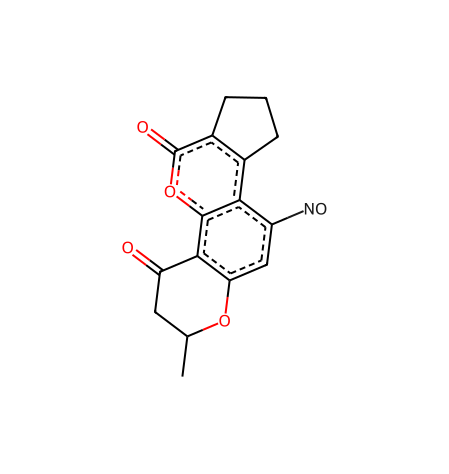 CC1CC(=O)c2c(cc(N=O)c3c4c(c(=O)oc23)CCC4)O1